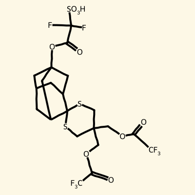 O=C(OCC1(COC(=O)C(F)(F)F)CSC2(SC1)C1CC3CC2CC(OC(=O)C(F)(F)S(=O)(=O)O)(C3)C1)C(F)(F)F